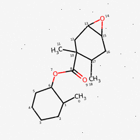 CC1CCCCC1OC(=O)C1(C)CC2OC2CC1C